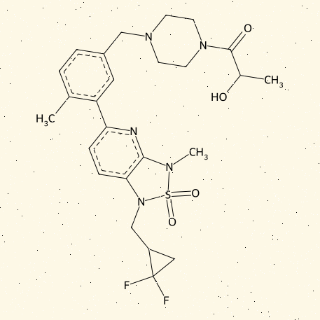 Cc1ccc(CN2CCN(C(=O)C(C)O)CC2)cc1-c1ccc2c(n1)N(C)S(=O)(=O)N2CC1CC1(F)F